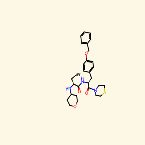 CC(C)C[C@H](NC1CCOCC1)C(=O)N[C@@H](Cc1ccc(OCc2ccccc2)cc1)C(=O)N1CCSCC1